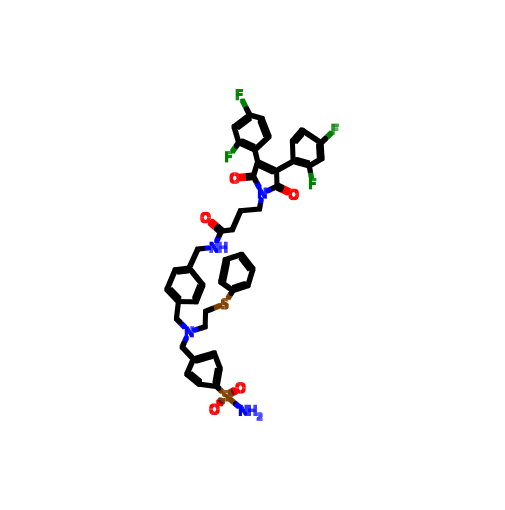 NS(=O)(=O)c1ccc(CN(CCSc2ccccc2)Cc2ccc(CNC(=O)CCCN3C(=O)C(c4ccc(F)cc4F)=C(c4ccc(F)cc4F)C3=O)cc2)cc1